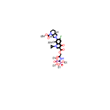 CCOP(=O)(OCC)C(NC(=O)COC(=O)c1cn(C2CC2)c2c(OC)c(N3C[C@@H]4CCCN(C(=O)OC(C)(C)C)[C@@H]4C3)c(F)cc2c1=O)P(=O)(OCC)OCC